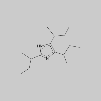 CCC(C)c1nc(C(C)CC)c(C(C)CC)[nH]1